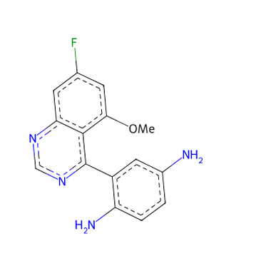 COc1cc(F)cc2ncnc(-c3cc(N)ccc3N)c12